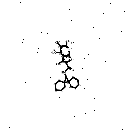 Cc1nc2sc(C(=O)NC3C4(CCCCC4)C34CCCCC4)c(Cl)c2c(C)c1Cl